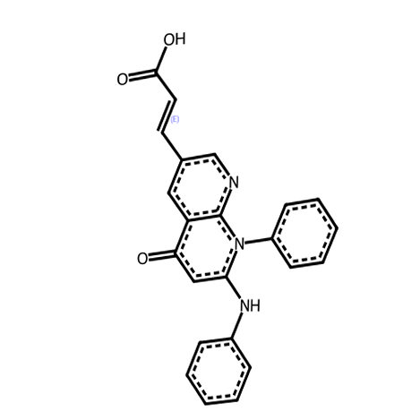 O=C(O)/C=C/c1cnc2c(c1)c(=O)cc(Nc1ccccc1)n2-c1ccccc1